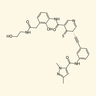 Cc1cc(C(=O)Nc2cccc(C#C[C@H]3C=NC=C(C(=O)Nc4cccc(CC(=O)NCCO)c4O)C3=S)c2)n(C)n1